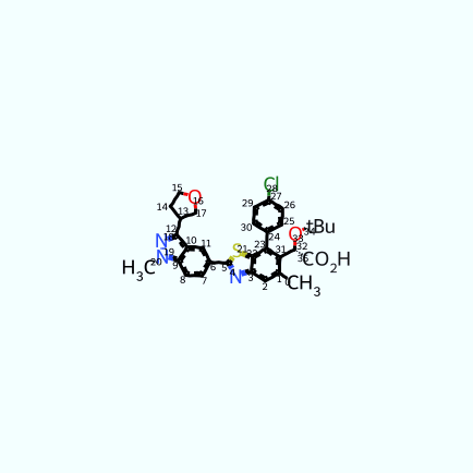 Cc1cc2nc(-c3ccc4c(c3)c(C3CCOC3)nn4C)sc2c(-c2ccc(Cl)cc2)c1[C@H](OC(C)(C)C)C(=O)O